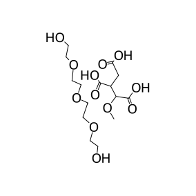 COC(C(=O)O)C(CC(=O)O)C(=O)O.OCCOCCOCCOCCO